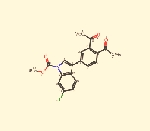 COC(=O)c1ccc(-c2cn(C(=O)OC(C)(C)C)c3cc(F)ccc23)cc1C(=O)OC